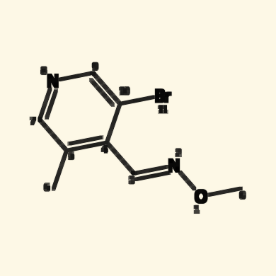 CO/N=C/c1c(C)cncc1Br